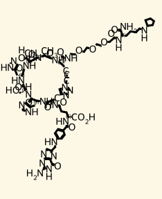 C[C@H](O)[C@H]1NC(=O)[C@@H](Cc2cnc[nH]2)NC(=O)[C@@H](CO)NC(=O)[C@@H](Cc2cnc[nH]2)NC(=O)[C@@H](NC(=O)CC[C@H](NC(=O)c2ccc(NCc3cnc4nc(N)[nH]c(=O)c4n3)cc2)C(=O)O)Cc2cn(nn2)CCCC[C@@H](C(=O)NCCOCCOCCOCC(=O)N[C@H](CCCCNC2CCCC2)C(N)=O)NC(=O)[C@@H](C)NC1=O